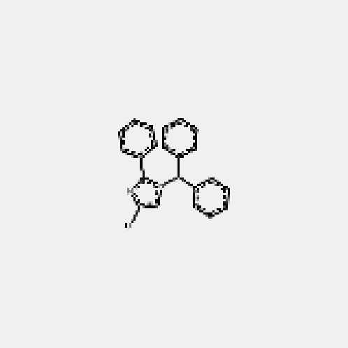 Clc1cn(C(c2ccccc2)c2ccccc2)c(-c2ccccc2)n1